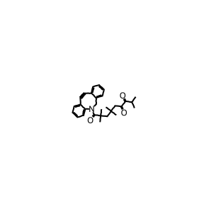 CC(C)C(=O)C(=O)CC(C)(C)CC(C)(C)C(=O)N1Cc2ccccc2C#Cc2ccccc21